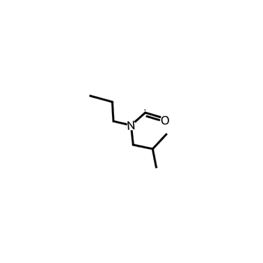 CCCN([C]=O)CC(C)C